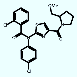 COCC1CCCN1C(=O)c1csc(N(C(=O)c2ccccc2Cl)c2ccc(Cl)cc2)n1